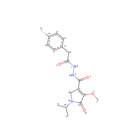 COC1=C(C(=O)NNC(=O)Cc2ccc(F)cc2)CN(C(C)C)C1=O